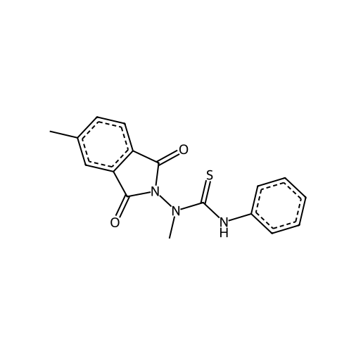 Cc1ccc2c(c1)C(=O)N(N(C)C(=S)Nc1ccccc1)C2=O